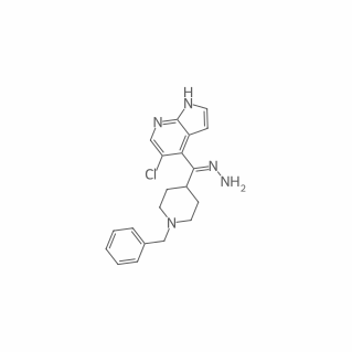 NN=C(c1c(Cl)cnc2[nH]ccc12)C1CCN(Cc2ccccc2)CC1